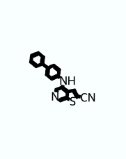 N#Cc1cc2c(Nc3ccc(-c4ccccc4)cc3)cncc2s1